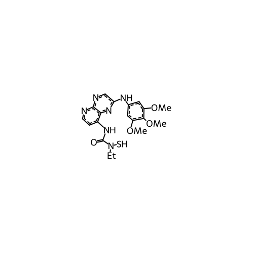 CCN(S)C(=O)Nc1ccnc2ncc(Nc3cc(OC)c(OC)c(OC)c3)nc12